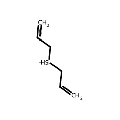 C=CC[SiH]CC=C